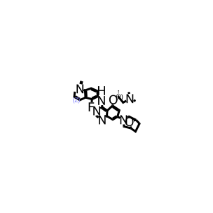 C=Nc1ccc(Nc2ncnc3cc(N4CC5CCC(C4)O5)cc(O[C@H](C)CN(C)C)c23)c(F)c1/C=C\C